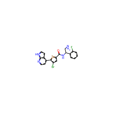 NCC(NC(=O)c1cc(Br)c(-c2ccnc3[nH]ccc23)s1)c1ccccc1F